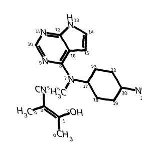 CC(O)=C(C)C#N.CN(c1ncnc2[nH]ccc12)C1CCC(N)CC1